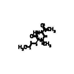 CCCC[C@@H]1C(=O)N[C@@H](C(C)=O)CN1C